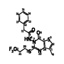 Cc1csc2c(=O)n(NC(=O)Cc3ccccc3)c(SCCC(F)(F)F)nc12